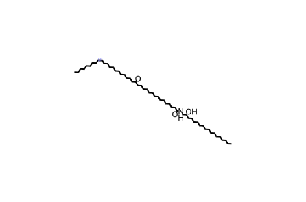 CCCCCCCC/C=C\CCCCCCCCCCCC(=O)CCCCCCCCCCCCCCC(=O)NCC(O)CCCCCCCCCCCCCCCC